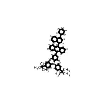 CC(C)(C)c1ccc2c(c1)Sc1cc(-c3c4ccccc4c(-c4ccc(-c5ccccc5)c5ccccc45)c4ccccc34)cc3c1B2c1ccc(C(C)(C)C)cc1S3